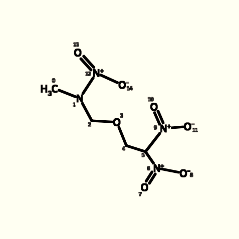 CN(COCC([N+](=O)[O-])[N+](=O)[O-])[N+](=O)[O-]